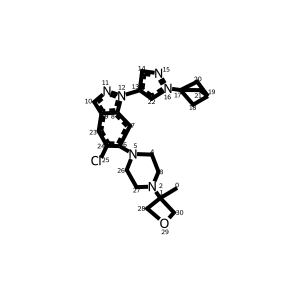 CC1(N2CCN(c3cc4c(cnn4-c4cnn(C56CC(C5)C6)c4)cc3Cl)CC2)COC1